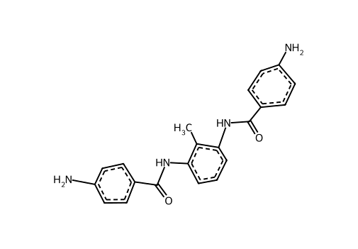 Cc1c(NC(=O)c2ccc(N)cc2)cccc1NC(=O)c1ccc(N)cc1